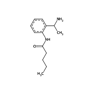 CCCCC(=O)Nc1ccccc1C(C)N